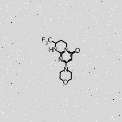 O=c1cc(N2CCOCC2)nc2n1CCC(C(F)(F)F)N2